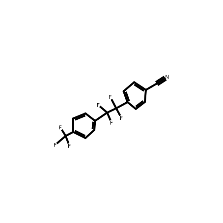 N#Cc1ccc(C(F)(F)C(F)(F)c2ccc(C(F)(F)F)cc2)cc1